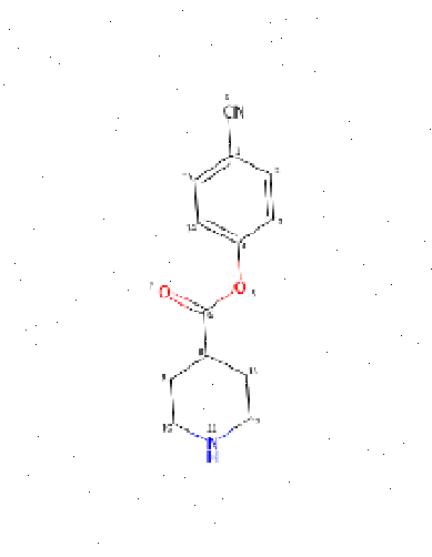 N#Cc1ccc(OC(=O)C2CCNCC2)cc1